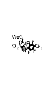 COCC(=O)Nc1c([N+](=O)[O-])cnn1-c1c(F)c(F)c(C(F)(F)F)c(F)c1F